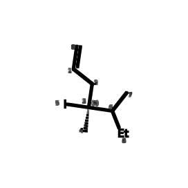 C=CC[C@](C)(I)C(C)CC